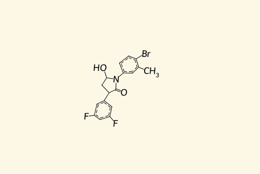 Cc1cc(N2C(=O)C(c3cc(F)cc(F)c3)CC2O)ccc1Br